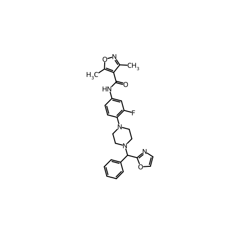 Cc1noc(C)c1C(=O)Nc1ccc(N2CCN(C(c3ccccc3)c3ncco3)CC2)c(F)c1